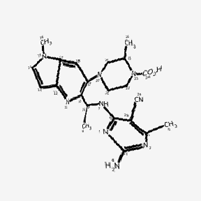 Cc1nc(N)nc(N[C@@H](C)c2nc3ccn(C)c3cc2N2CCN(C(=O)O)C(C)C2)c1C#N